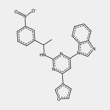 CC(Nc1nc(-c2ccoc2)cc(-n2cnc3ccccc32)n1)c1cccc([N+](=O)[O-])c1